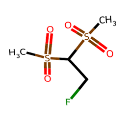 CS(=O)(=O)C(CF)S(C)(=O)=O